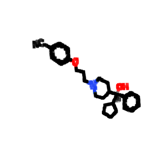 N#Cc1ccc(OCCCN2CCC([C@@](O)(c3ccccc3)C3CCCC3)CC2)cc1